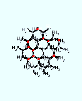 PP(P)P(P(P)P)P(P(P(P)P)P(P)P)P(P(P(P)P)P(P)P)P(P(P(P(P)P)P(P)P)P(P(P)P)P(P)P)P(P(P(P(P)P)P(P)P)P(P(P)P)P(P)P)P(P(P(P)P)P(P)P)P(P(P)P)P(P)P